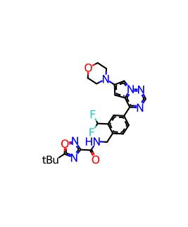 CC(C)(C)c1nc(C(=O)NCc2ccc(-c3ncnn4cc(N5CCOCC5)cc34)cc2C(F)F)no1